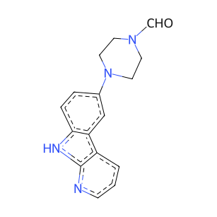 O=CN1CCN(c2ccc3[nH]c4ncccc4c3c2)CC1